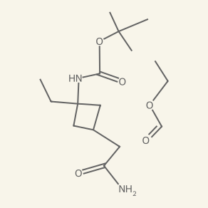 CCC1(NC(=O)OC(C)(C)C)CC(CC(N)=O)C1.CCOC=O